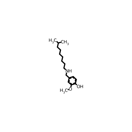 COc1cc(CNCCCCCCCC(C)C)ccc1O